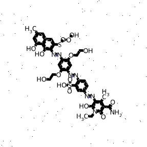 CCn1c(O)c(/N=N/c2ccc(/N=N/c3cc(OCCO)c(/N=N/c4c(SOOO)cc5cc(C)cc(O)c5c4O)cc3OCCO)c(S(=O)(=O)O)c2)c(C)c(C(N)=O)c1=O